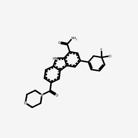 NC(=O)c1cc(C2=CC=CC(F)(Cl)C2)cc2c1[nH]c1ccc(C(=O)N3CCOCC3)cc12